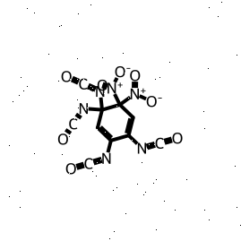 O=C=NC1=CC(N=C=O)(N=C=O)C([N+](=O)[O-])([N+](=O)[O-])C=C1N=C=O